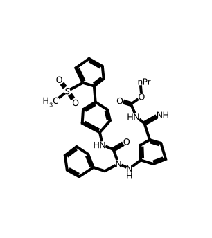 CCCOC(=O)NC(=N)c1cccc(NN(Cc2ccccc2)C(=O)Nc2ccc(-c3ccccc3S(C)(=O)=O)cc2)c1